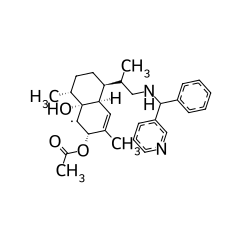 CC(=O)O[C@@H]1[CH][C@@]2(O)[C@H](C)CC[C@@H](C(C)CNC(c3ccccc3)c3cccnc3)[C@H]2C=C1C